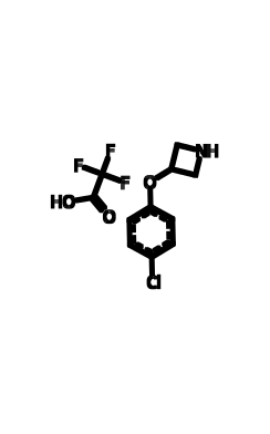 Clc1ccc(OC2CNC2)cc1.O=C(O)C(F)(F)F